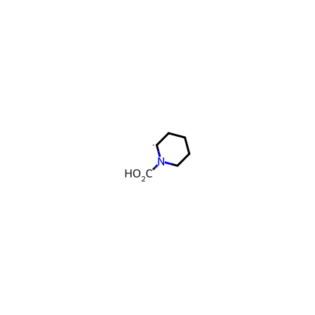 O=C(O)N1[CH]CCCC1